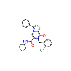 O=C(NC1CCCC1)c1cn2c(-c3ccccc3)ccc2c(=O)n1Cc1ccccc1Cl